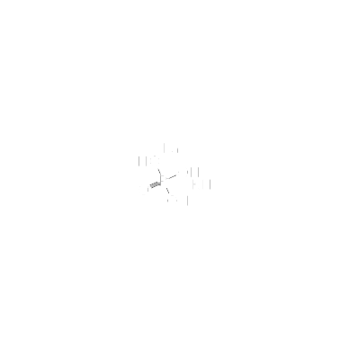 O=P(O)(O)O.[KH].[La]